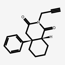 C#CCN1C(=O)C[C@@]2(c3ccccc3)CCCC[C@H]2C1=O